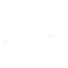 CC(C)(C)NCC(=O)c1ccc(Br)cc1